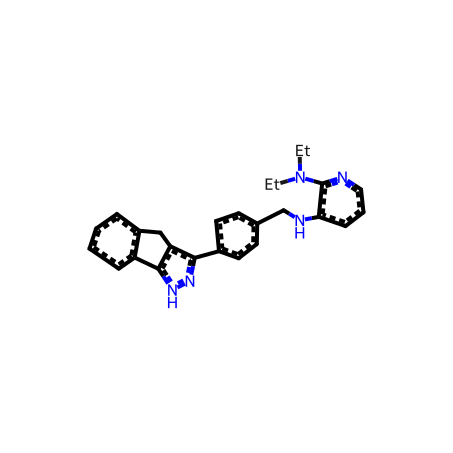 CCN(CC)c1ncccc1NCc1ccc(-c2n[nH]c3c2Cc2ccccc2-3)cc1